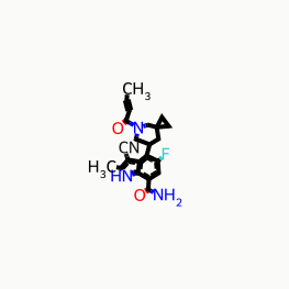 CC#CC(=O)N1CC(c2c(F)cc(C(N)=O)c3[nH]c(C)c(C#N)c23)CC2(CC2)C1